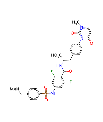 CNCc1ccc(S(=O)(=O)Nc2cc(F)c(C(=O)N[C@@H](Cc3ccc(-n4c(=O)ccn(C)c4=O)cc3)C(=O)O)c(F)c2)cc1